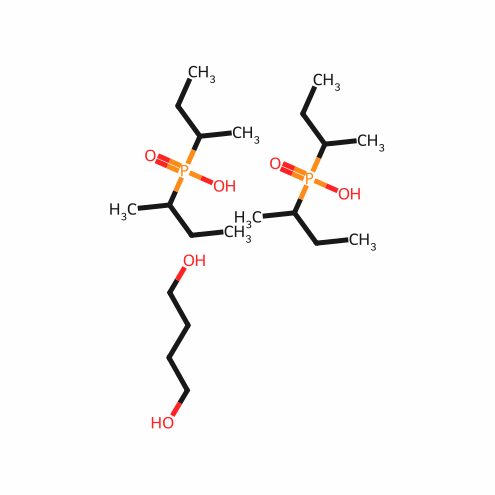 CCC(C)P(=O)(O)C(C)CC.CCC(C)P(=O)(O)C(C)CC.OCCCCO